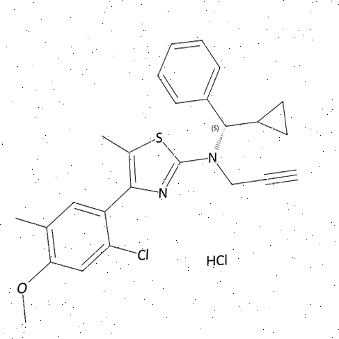 C#CCN(c1nc(-c2cc(C)c(OC)cc2Cl)c(C)s1)[C@H](c1ccccc1)C1CC1.Cl